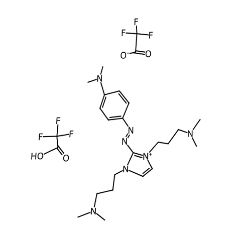 CN(C)CCCn1cc[n+](CCCN(C)C)c1/N=N/c1ccc(N(C)C)cc1.O=C(O)C(F)(F)F.O=C([O-])C(F)(F)F